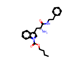 CCCCOC(=O)n1cc(C[C@@H](N)C(=O)NCCc2ccccc2)c2ccccc21